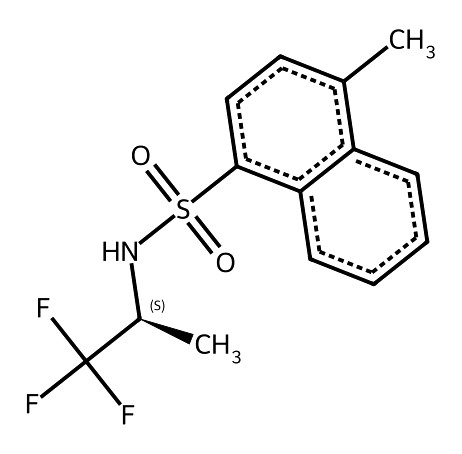 Cc1ccc(S(=O)(=O)N[C@@H](C)C(F)(F)F)c2ccccc12